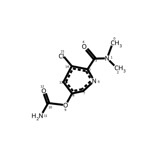 CN(C)C(=O)c1ncc(OC(N)=O)cc1Cl